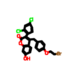 O=c1oc2cc(O)ccc2c(Cc2ccc(OCCBr)cc2)c1-c1ccc(Cl)cc1Cl